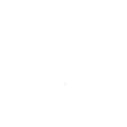 COC(=O)c1ccc(CC(C)NC[C@@H](O)c2cccc(C(F)(F)F)c2)cc1.Cl